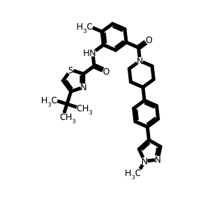 Cc1ccc(C(=O)N2CCC(c3ccc(-c4cnn(C)c4)cc3)CC2)cc1NC(=O)c1nc(C(C)(C)C)cs1